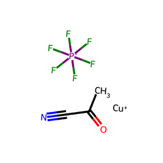 CC(=O)C#N.F[P-](F)(F)(F)(F)F.[Cu+]